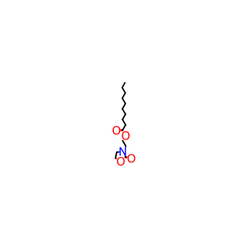 CCCCCCCCCC(=O)OCCN1CCOC1=O